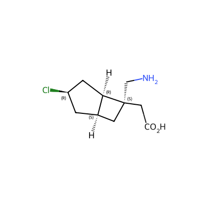 NC[C@]1(CC(=O)O)C[C@H]2C[C@@H](Cl)C[C@H]21